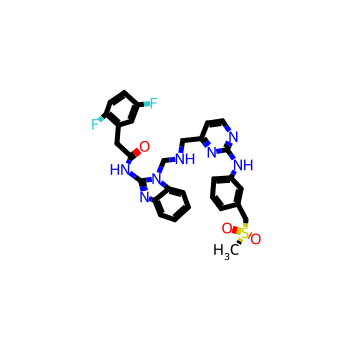 CS(=O)(=O)Cc1cccc(Nc2nccc(CNCn3c(NC(=O)Cc4cc(F)ccc4F)nc4ccccc43)n2)c1